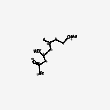 COCCN(C)CC(O)CC(=O)C(C)C